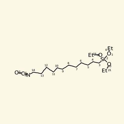 CCO[Si](CCCCCCCCCCCCN=C=O)(OCC)OCC